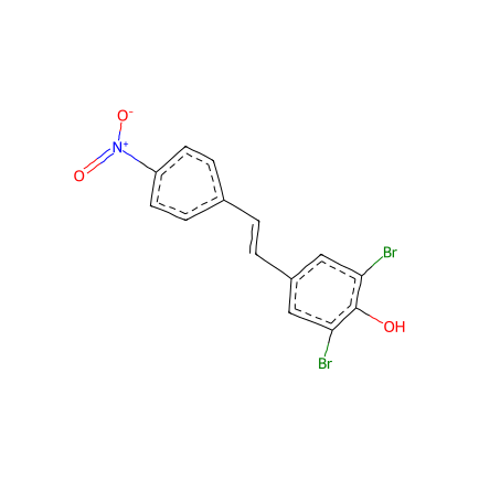 O=[N+]([O-])c1ccc(/C=C/c2cc(Br)c(O)c(Br)c2)cc1